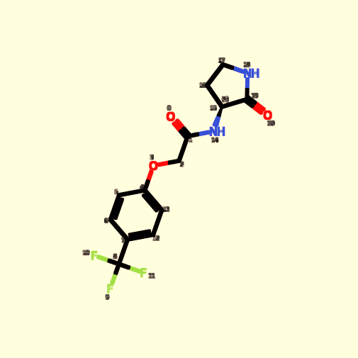 O=C(COc1ccc(C(F)(F)F)cc1)N[C@H]1CCNC1=O